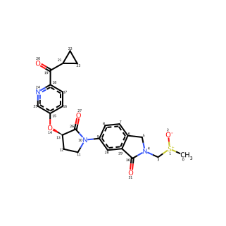 C[S+]([O-])CN1Cc2ccc(N3CC[C@@H](Oc4ccc(C(=O)C5CC5)nc4)C3=O)cc2C1=O